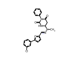 CN(/N=C/c1ccc(-c2cccc(Cl)c2)o1)C1CC(=O)N(c2ccccc2)C(=O)N1